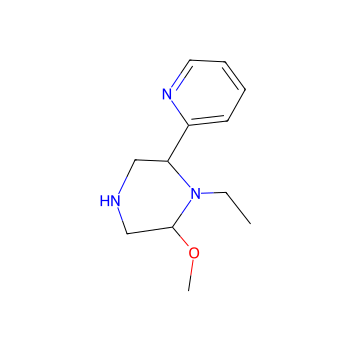 CCN1C(OC)CNCC1c1ccccn1